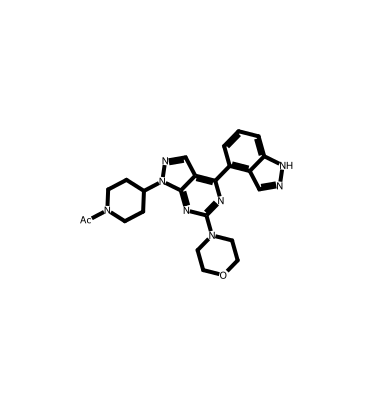 CC(=O)N1CCC(n2ncc3c(-c4cccc5[nH]ncc45)nc(N4CCOCC4)nc32)CC1